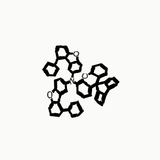 c1ccc(-c2cccc3oc4ccc(N(c5ccc6oc7cccc(-c8ccccc8)c7c6c5)c5cccc6c5Oc5ccccc5C65c6ccccc6-c6ccccc65)cc4c23)cc1